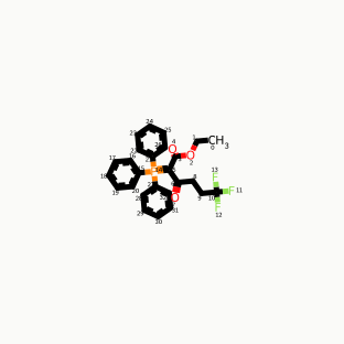 CCOC(=O)C(C(=O)CCC(F)(F)F)=P(c1ccccc1)(c1ccccc1)c1ccccc1